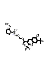 CC(C)(C)c1cc2c(cc1Cl)C=C(C(=O)OCO/N=[N+](\[O-])N1CCC[C@H]1CO)[C@@H](C(F)(F)F)O2